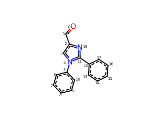 O=Cc1cn(-c2ccccc2)c(-c2ccccc2)n1